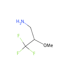 COC(CN)C(F)(F)F